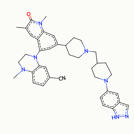 Cc1cc2c(N3CCN(C)c4ccc(C#N)cc43)cc(C3CCN(CC4CCN(c5ccc6[nH]ncc6c5)CC4)CC3)cc2n(C)c1=O